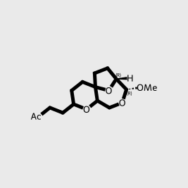 CO[C@@H]1OCC2OC(CCC(C)=O)CCC23CC[C@H]1O3